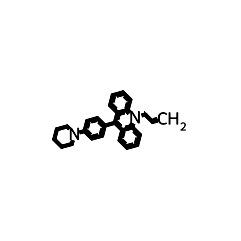 C=CC[n+]1c2ccccc2c(-c2ccc(N3CCCCC3)cc2)c2ccccc21